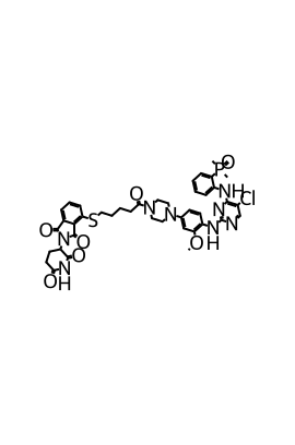 COc1cc(N2CCN(C(=O)CCCCSc3cccc4c3C(=O)N(C3CCC(=O)NC3=O)C4=O)CC2)ccc1Nc1ncc(Cl)c(Nc2ccccc2P(C)(C)=O)n1